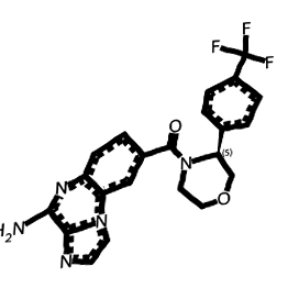 Nc1nc2ccc(C(=O)N3CCOC[C@@H]3c3ccc(C(F)(F)F)cc3)cc2n2ccnc12